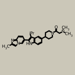 Cc1cn2cc(-c3[nH]c4ccc(C5CCN(C(=O)CN(C)C)CC5)cc4c3C(C)C)ccc2n1